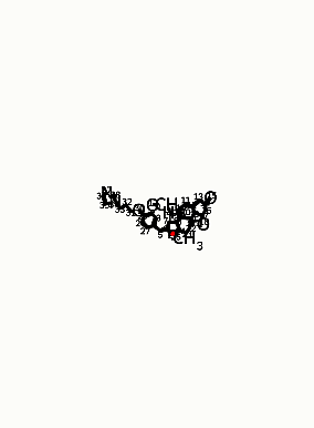 COc1cc(C=C2C[C@H]3[C@@H]4CCC5=CC(=O)CC(=O)[C@]5(C)[C@H]4CC[C@]3(C)C2)ccc1OCCCn1ccnc1